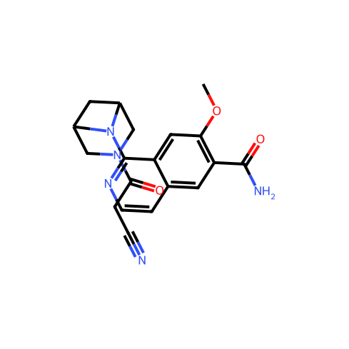 COc1cc2c(N3C4CC3CN(C(=O)CC#N)C4)nccc2cc1C(N)=O